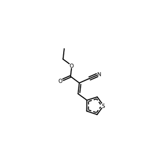 CCOC(=O)/C(C#N)=C/c1ccsc1